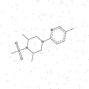 Cc1ccc(N2CC(C)N(S(C)(=O)=O)C(C)C2)nc1